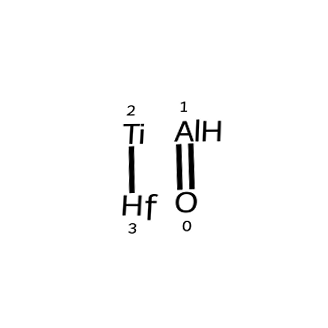 [O]=[AlH].[Ti][Hf]